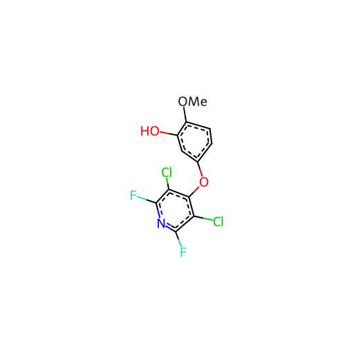 COc1ccc(Oc2c(Cl)c(F)nc(F)c2Cl)cc1O